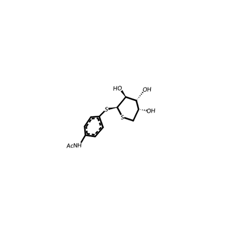 CC(=O)Nc1ccc(S[C@@H]2SC[C@@H](O)[C@@H](O)[C@@H]2O)cc1